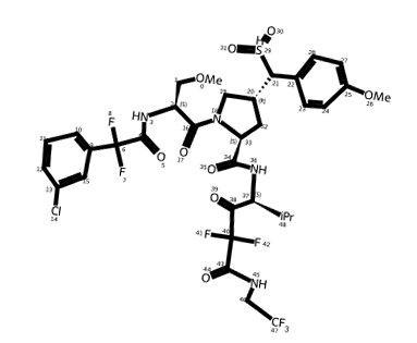 COC[C@H](NC(=O)C(F)(F)c1cccc(Cl)c1)C(=O)N1C[C@H](C(c2ccc(OC)cc2)[SH](=O)=O)C[C@H]1C(=O)N[C@H](C(=O)C(F)(F)C(=O)NCC(F)(F)F)C(C)C